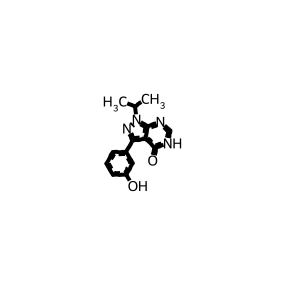 CC(C)n1nc(-c2cccc(O)c2)c2c(=O)[nH]cnc21